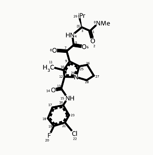 CNC(=O)[C@@H](NC(=O)C(=O)c1c(C)c(C(=O)Nc2ccc(F)c(Cl)c2)n2c1CCC2)C(C)C